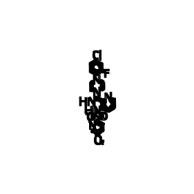 COc1ccc(S(=O)(=O)Nc2cccnc2C(=N)N2CCN(c3ccc(Cl)cc3F)CC2)nc1